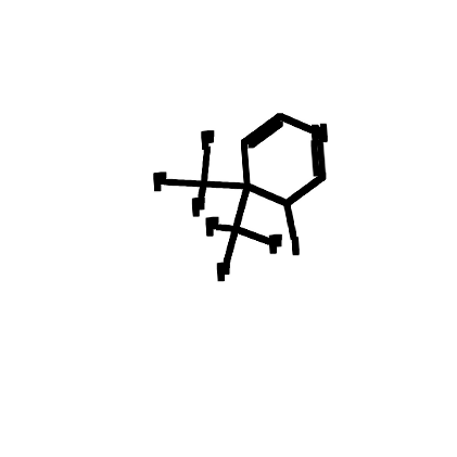 FC(F)(F)C1(C(F)(F)F)C=CN=CC1I